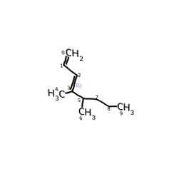 C=C/C=C(\C)C(C)CCC